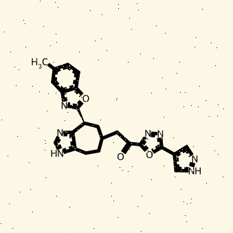 Cc1ccc2oc([C@H]3CC(CC(=O)c4nnc(-c5cn[nH]c5)o4)CCc4[nH]cnc43)nc2c1